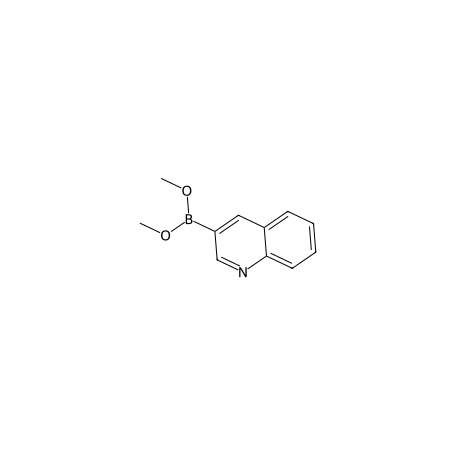 COB(OC)c1cnc2ccccc2c1